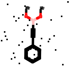 CC(C)OB(C#Cc1ccccc1)OC(C)C